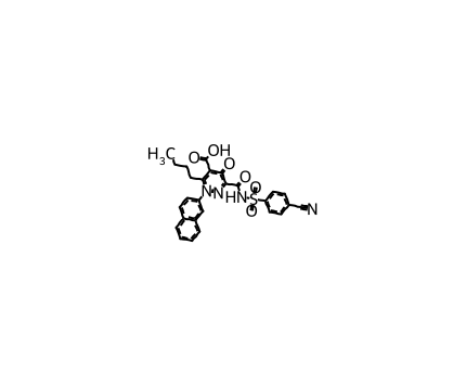 CCCCc1c(C(=O)O)c(=O)c(C(=O)NS(=O)(=O)c2ccc(C#N)cc2)nn1-c1ccc2ccccc2c1